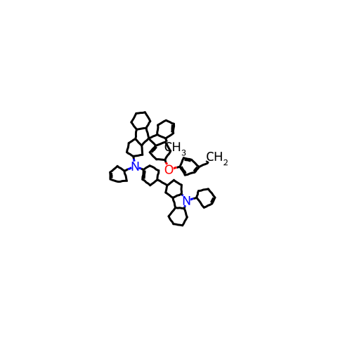 C=Cc1ccc(OC2CC=C(C3(C4CCC=CC4C)C4CCCCC4C4CCC(N(C5=CCC(C6CCC7C(C6)C6CCCCC6N7C6CC=CCC6)CC5)C5CC=CCC5)CC43)CC2)cc1